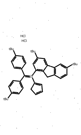 CC(C)(C)c1ccc([C](c2ccc(C(C)(C)C)cc2)=[Zr]([C]2=CC=CC2)[c]2cc(C(C)(C)C)cc3c2Cc2ccc(C(C)(C)C)cc2-3)cc1.Cl.Cl